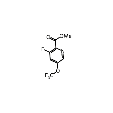 COC(=O)c1ncc(OC(F)(F)F)cc1F